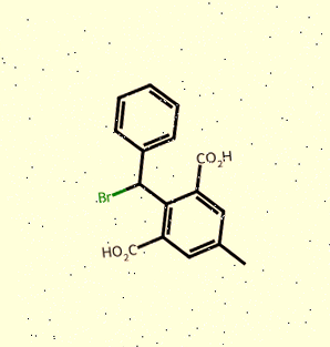 Cc1cc(C(=O)O)c(C(Br)c2ccccc2)c(C(=O)O)c1